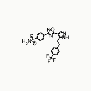 NS(=O)(=O)c1ccc(-c2noc(-c3cn[nH]c3CCc3ccc(C(F)(F)F)cc3)n2)cc1